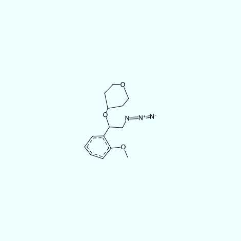 COc1ccccc1C(CN=[N+]=[N-])OC1CCOCC1